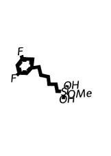 CO[Si](O)(O)CCCCCCc1cc(F)cc(F)c1